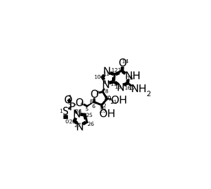 C#SP(=O)(OC[C@H]1OC(n2cnc3c(=O)[nH]c(N)nc32)[C@@H](O)C1O)n1ccnc1